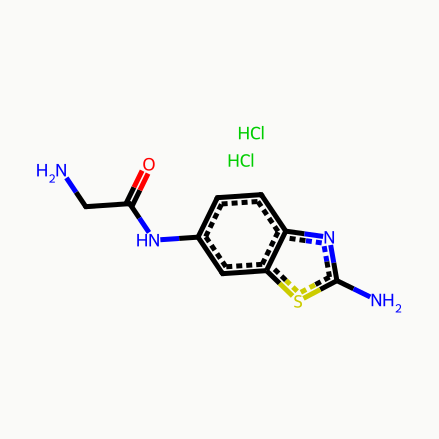 Cl.Cl.NCC(=O)Nc1ccc2nc(N)sc2c1